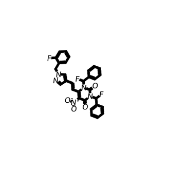 O=c1c([N+](=O)[O-])c(C=Cc2cnn(Cc3ccccc3F)c2)n(C(F)c2ccccc2)c(=O)n1C(F)c1ccccc1